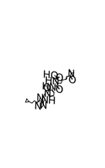 CN(C)C(=O)C=CCCC(NC(=O)O)C(=O)Nc1cccn(Cc2nc3c(CCC4CC4)ncnc3[nH]2)c1=O